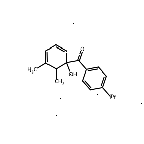 CC1=CC=CC(O)(C(=O)c2ccc(C(C)C)cc2)C1C